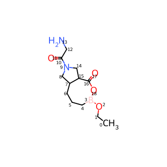 CCOB1CCCC2CN(C(=O)CN)CC2C(=O)O1